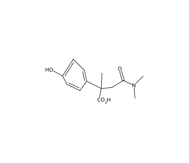 CN(C)C(=O)CC(C)(C(=O)O)c1ccc(O)cc1